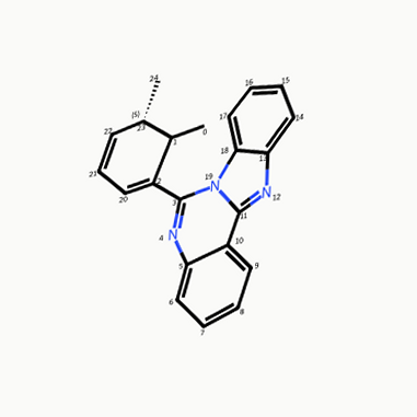 CC1C(c2nc3ccccc3c3nc4ccccc4n23)=CC=C[C@@H]1C